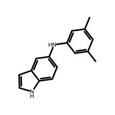 Cc1cc(C)cc(Nc2ccc3[nH]ccc3c2)c1